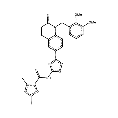 COc1cccc(CN2C(=O)CCc3cc(-c4csc(NC(=O)c5oc(C)nc5C)n4)ccc32)c1OC